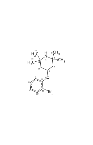 CC1(C)CC(Oc2ccccc2Br)CC(C)(C)N1